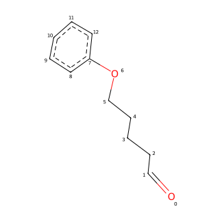 O=CCCCCOc1ccccc1